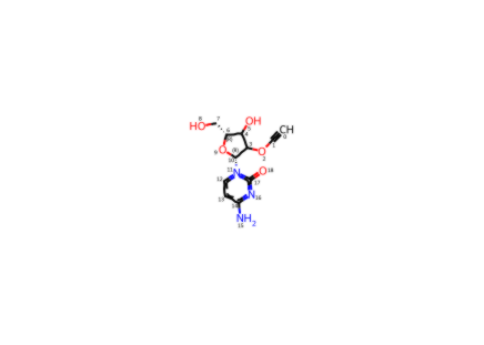 C#COC1C(O)[C@@H](CO)O[C@H]1n1ccc(N)nc1=O